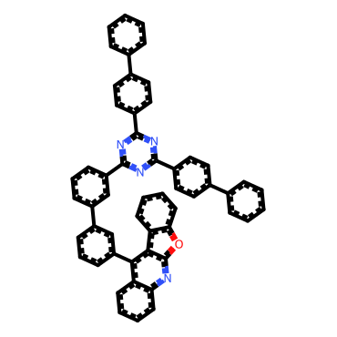 c1ccc(-c2ccc(-c3nc(-c4ccc(-c5ccccc5)cc4)nc(-c4cccc(-c5cccc(-c6c7ccccc7nc7oc8ccccc8c67)c5)c4)n3)cc2)cc1